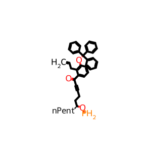 C=CCc1c(OC(c2ccccc2)(c2ccccc2)c2ccccc2)cccc1C(=O)C#CCC[C@H](CCCCC)OP